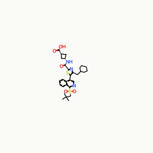 CC(C)(C)CS(=O)(=O)c1ncc(-c2sc(C(=O)N[C@H]3C[C@H](C(=O)O)C3)nc2CC2CCCCC2)c2ccccc12